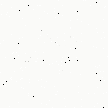 CCCc1nn(C)c2c(=O)[nH]c(-c3cc(S(=O)(=O)N4CCN(C)CC4)ccc3OCC)nc12.CN(C(=O)CCCOc1ccc2[nH]c(=O)ccc2c1)C1CCCCC1